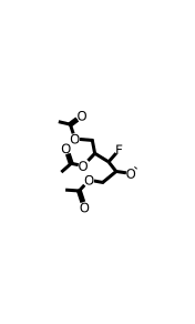 COC(COC(C)=O)C(F)C(COC(C)=O)OC(C)=O